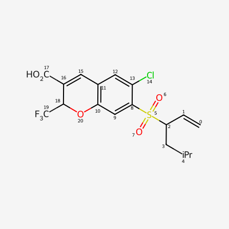 C=CC(CC(C)C)S(=O)(=O)c1cc2c(cc1Cl)C=C(C(=O)O)C(C(F)(F)F)O2